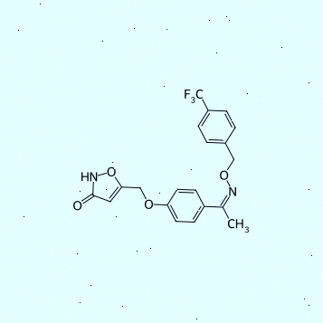 CC(=NOCc1ccc(C(F)(F)F)cc1)c1ccc(OCc2cc(=O)[nH]o2)cc1